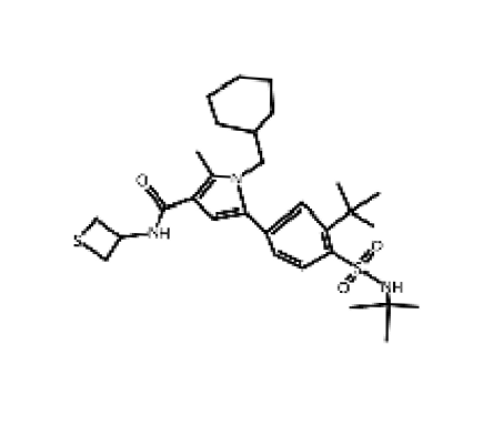 Cc1c(C(=O)NC2CSC2)cc(-c2ccc(S(=O)(=O)NC(C)(C)C)c(C(C)(C)C)c2)n1CC1CCCCC1